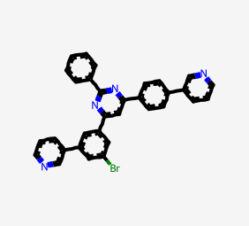 Brc1cc(-c2cccnc2)cc(-c2cc(-c3ccc(-c4cccnc4)cc3)nc(-c3ccccc3)n2)c1